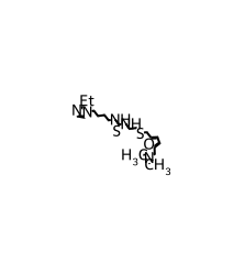 CCc1nccn1CCCCNC(=S)NCCSCc1ccc(CN(C)C)o1